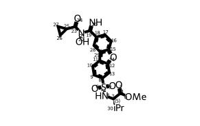 COC(=O)[C@@H](NS(=O)(=O)c1ccc2c(c1)oc1ccc(C(=N)N(O)C(=O)C3CC3)cc12)C(C)C